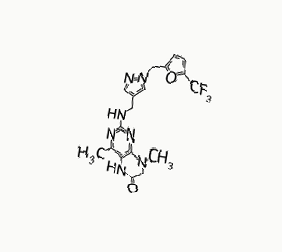 Cc1nc(NCc2cnn(Cc3ccc(C(F)(F)F)o3)c2)nc2c1NC(=O)CN2C